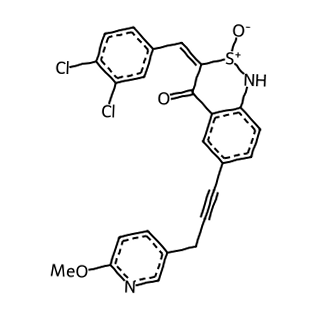 COc1ccc(CC#Cc2ccc3c(c2)C(=O)/C(=C\c2ccc(Cl)c(Cl)c2)[S+]([O-])N3)cn1